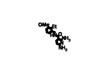 CCc1c(CNC(=O)c2ccc(N)nc2N)cccc1OC